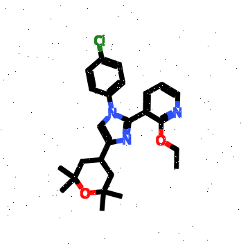 CCOc1ncccc1-c1nc(C2CC(C)(C)OC(C)(C)C2)cn1-c1ccc(Cl)cc1